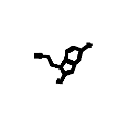 CC(=O)c1cc2cc(Br)ccc2n1CCO